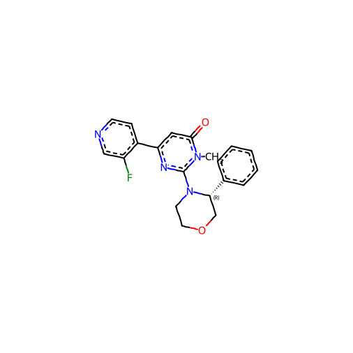 Cn1c(N2CCOC[C@H]2c2ccccc2)nc(-c2ccncc2F)cc1=O